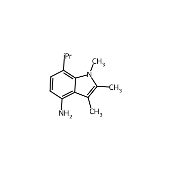 Cc1c(C)n(C)c2c(C(C)C)ccc(N)c12